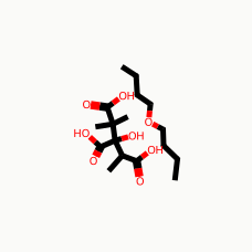 CC(C(=O)O)C(O)(C(=O)O)C(C)(C)C(=O)O.CCCCOCCCC